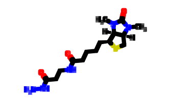 CN1C(=O)N(C)[C@H]2CS[C@@H](CCCCC(=O)NCCC(=O)NN)[C@H]21